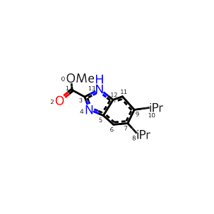 COC(=O)c1nc2cc(C(C)C)c(C(C)C)cc2[nH]1